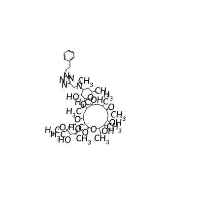 CC[C@H]1OC(=O)[C@H](C)[C@@H](O[C@H]2C[C@@](C)(OC)[C@@H](O)[C@H](C)O2)[C@H](C)[C@@H](O[C@@H]2O[C@H](C)C[C@H](N(C)Cc3nnn(CCc4ccccc4)n3)[C@H]2O)[C@](C)(O)C[C@@H](C)C(=O)[C@H](C)[C@@H](O)[C@]1(C)O